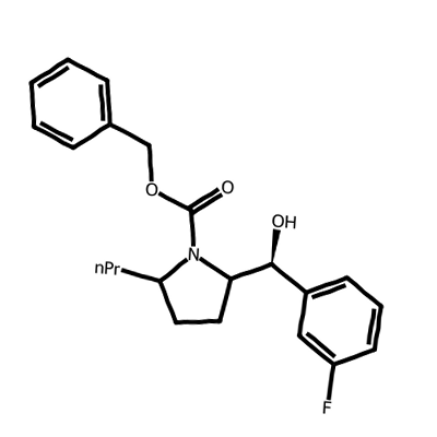 CCCC1CCC([C@@H](O)c2cccc(F)c2)N1C(=O)OCc1ccccc1